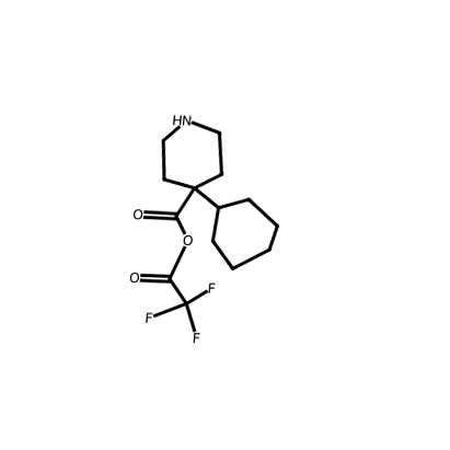 O=C(OC(=O)C1(C2CCCCC2)CCNCC1)C(F)(F)F